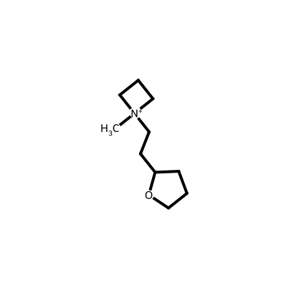 C[N+]1(CCC2CCCO2)CCC1